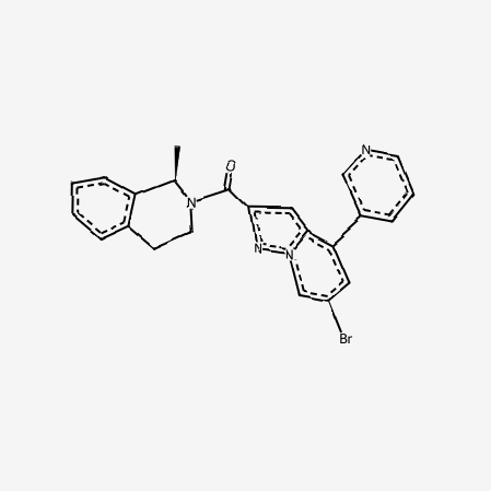 C[C@@H]1c2ccccc2CCN1C(=O)c1cc2c(-c3cccnc3)cc(Br)cn2n1